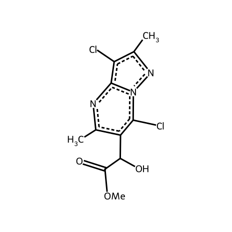 COC(=O)C(O)c1c(C)nc2c(Cl)c(C)nn2c1Cl